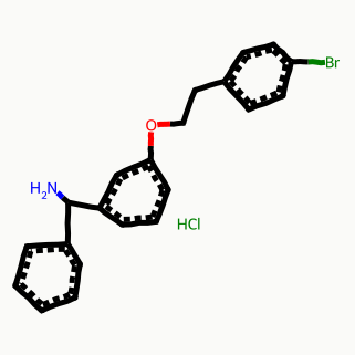 Cl.NC(c1ccccc1)c1cccc(OCCc2ccc(Br)cc2)c1